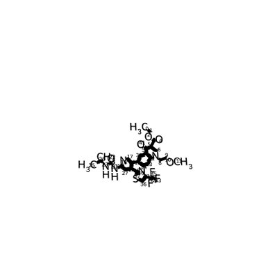 CCOC(=O)c1cn(CCOC)c2ccc(-c3cnc(NC(=O)NC(C)C)cc3-c3nc(C(F)(F)F)cs3)cc2c1=O